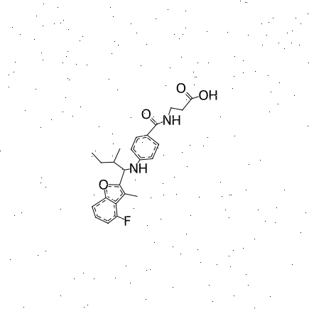 CCC(C)C(Nc1ccc(C(=O)NCCC(=O)O)cc1)c1oc2cccc(F)c2c1C